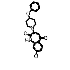 O=c1[nH]c2cc(Cl)ccc2c(=O)cc1N1CCC(Oc2ccccc2)CC1